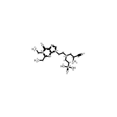 CCc1nc2c(ncn2CCN(CCP(=O)(O)O)CC(C)C#N)c(=O)n1CC